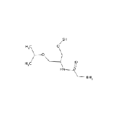 BCC(=O)NC(COS)COC(C)C